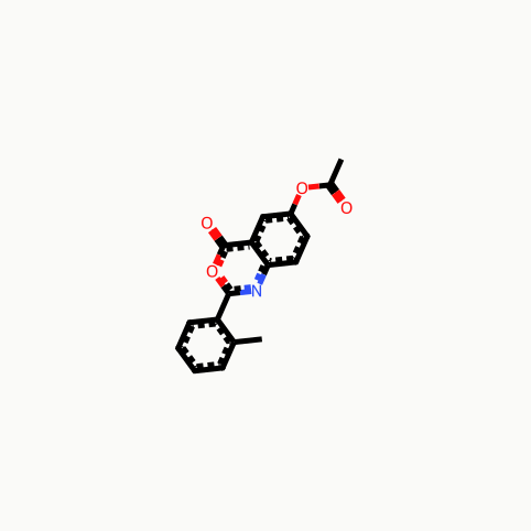 CC(=O)Oc1ccc2nc(-c3ccccc3C)oc(=O)c2c1